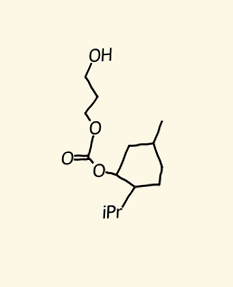 CC1CCC(C(C)C)C(OC(=O)OCCCO)C1